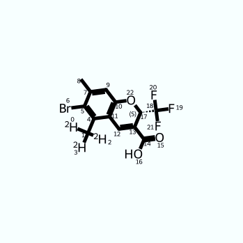 [2H]C([2H])([2H])c1c(Br)c(C)cc2c1C=C(C(=O)O)[C@@H](C(F)(F)F)O2